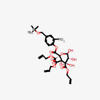 C=CCOC(=O)[C@]1(C(=O)Oc2ccc(CO[Si](C)(C)C(C)(C)C)cc2[N+](=O)[O-])O[C@@H](O)[C@H](O)[C@](O)(C(=O)OCC=C)[C@@]1(O)C(=O)OCC=C